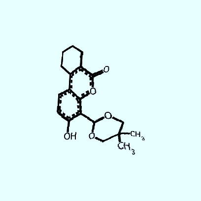 CC1(C)COC(c2c(O)ccc3c4c(c(=O)oc23)CCCC4)OC1